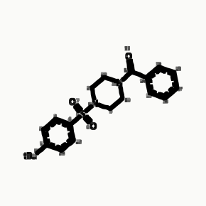 CC(C)(C)c1ccc(S(=O)(=O)N2CCN(C(=O)c3ccccc3)CC2)cc1